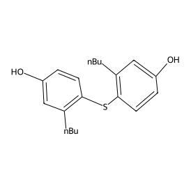 CCCCc1cc(O)ccc1Sc1ccc(O)cc1CCCC